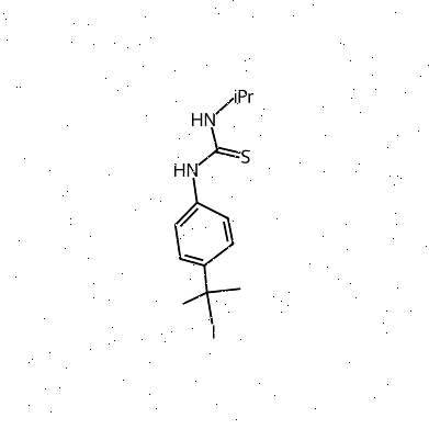 CC(C)NC(=S)Nc1ccc(C(C)(C)I)cc1